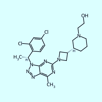 Cc1nc(N2CC([C@H]3CCCN(CCO)C3)C2)nc2c1nnn2[C@H](C)c1ccc(Cl)cc1Cl